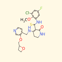 COc1c(Cl)cc(F)cc1NC(=S)C1=C(NCc2ccncc2OCC2CCO2)CCNC1=O